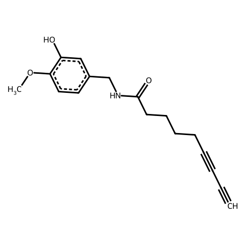 C#CC#CCCCCC(=O)NCc1ccc(OC)c(O)c1